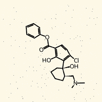 CN(C)C[C@H]1CCCC[C@]1(O)c1c(Cl)ccc(C(=O)Oc2ccccc2)c1O